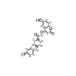 O=C(COc1cc(=O)oc2ccc(O)cc12)N1CCN(Cc2ccc(Cl)cc2)CC1